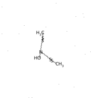 CCCCCSCSCCCCCCCCCN(CCCCO)CCCCCCCCCSCSCCCCC